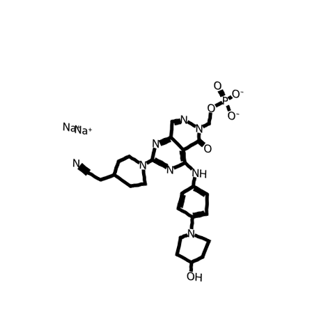 N#CCC1CCN(c2nc(Nc3ccc(N4CCC(O)CC4)cc3)c3c(=O)n(COP(=O)([O-])[O-])ncc3n2)CC1.[Na+].[Na+]